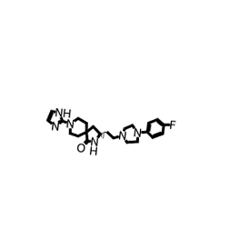 O=C1N[C@@H](CCN2CCN(c3ccc(F)cc3)CC2)CC12CCN(c1ncc[nH]1)CC2